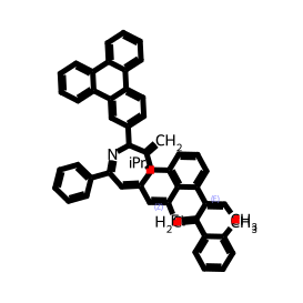 C=C(/C(=C\C)c1cccc(CC(C)C)c1/C(=C\C1=CC(c2ccccc2)=NC(c2ccc3c4ccccc4c4ccccc4c3c2)C(=C)C1)CC)c1ccccc1C